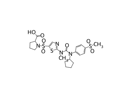 CN(C(=O)N(c1ccc(S(C)(=O)=O)cc1)C1CCCC1)c1ncc(S(=O)(=O)N2CCCC2C(=O)O)s1